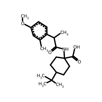 COc1ccc(C(C)C(=O)NC2(C(=O)O)CCC(C(C)(C)C)CC2)c(C)c1